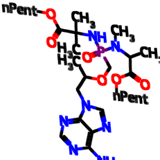 CCCCCOC(=O)C(C)N(C)P(=O)(COC(C)Cn1cnc2c(N)ncnc21)NC(C)(C)C(=O)OCCCCC